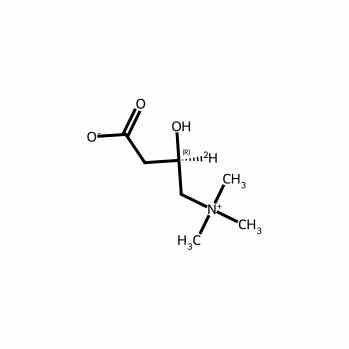 [2H][C@@](O)(CC(=O)[O-])C[N+](C)(C)C